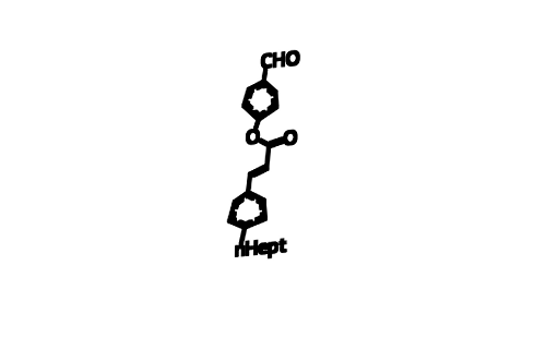 CCCCCCCc1ccc(C=CC(=O)Oc2ccc(C=O)cc2)cc1